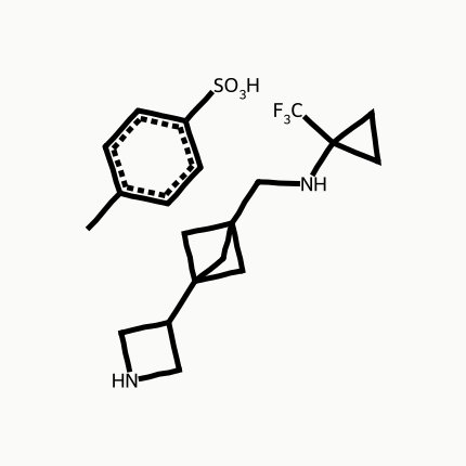 Cc1ccc(S(=O)(=O)O)cc1.FC(F)(F)C1(NCC23CC(C4CNC4)(C2)C3)CC1